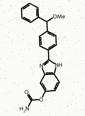 COC(c1ccccc1)c1ccc(-c2nc3cc(OC(N)=O)ccc3[nH]2)cc1